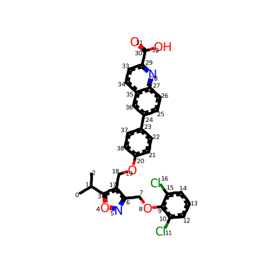 CC(C)c1onc(COc2c(Cl)cccc2Cl)c1COc1ccc(-c2ccc3nc(C(=O)O)ccc3c2)cc1